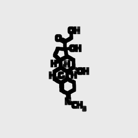 C/N=C1/C=C2CC[C@@H]3[C@H]([C@@H](O)CC4[C@H]3CC[C@]4(O)C(=O)CO)[C@@]2(C)CC1